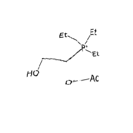 CC(=O)[O-].CC[P+](CC)(CC)CCO